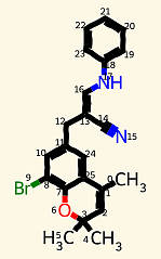 CC1=CC(C)(C)Oc2c(Br)cc(C/C(C#N)=C/Nc3ccccc3)cc21